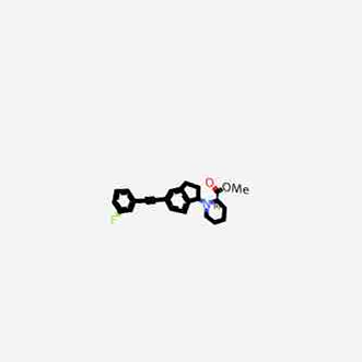 COC(=O)[C@H]1CCCCN1C1CCc2cc(C#Cc3cccc(F)c3)ccc21